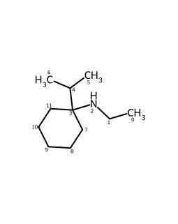 CCNC1(C(C)C)CCCCC1